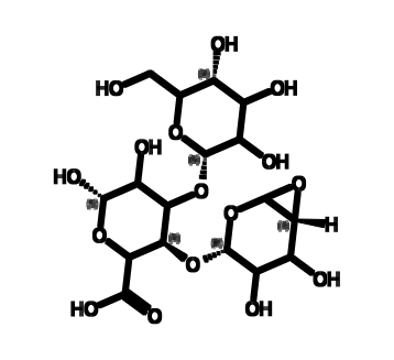 O=C(O)C1O[C@H](O)C(O)C(O[C@@H]2OC(CO)[C@H](O)C(O)C2O)[C@H]1O[C@@H]1OC2O[C@@H]2C(O)C1O